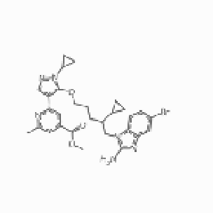 COC(=O)c1cc(C)nc(-c2cnn(C3CC3)c2OCCC[C@H](Cn2c(N)nc3cc(Br)ccc32)C2CC2)c1